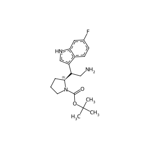 CC(C)(C)OC(=O)N1CCC[C@H]1C(CN)c1c[nH]c2cc(F)ccc12